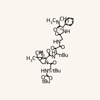 CCCCC(NC(=O)[C@@H]1[C@@H]2C(CN1C(=O)[C@@H](NC(=O)OC(C)(C)C)C(C)(C)C)C2(C)C)C(=O)C(=O)NCC(=O)N[C@H](C(=O)N(C)C)c1ccccc1